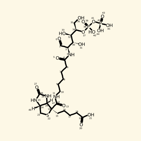 O=C[C@H](NC(=O)CCCCCNC(=O)[C@@]1(CCCCC(=O)O)SC[C@@H]2NC(=O)N[C@@H]21)[C@@H](O)[C@@H](O)[C@@H](CO)OP(=O)(O)OP(=O)(O)O